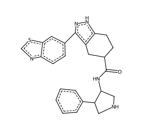 O=C(NC1CNCC1c1ccccc1)C1CCc2[nH]nc(-c3ccc4ncsc4c3)c2C1